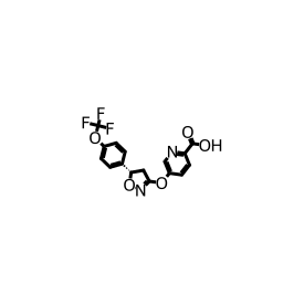 O=C(O)c1ccc(OC2=NO[C@H](c3ccc(OC(F)(F)F)cc3)C2)cn1